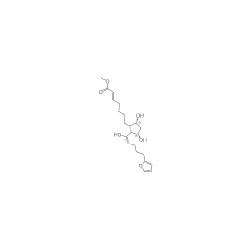 COC(=O)C=CCCCCC1C(/C(O)=C\CCCc2ccco2)[C@H](O)C[C@@H]1O